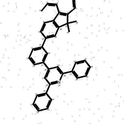 C=CC1=C(/C=C\C)c2ccc(-c3cccc(-c4cc(-c5ccccc5)nc(-c5ccccc5)c4)c3)cc2C1(C)C